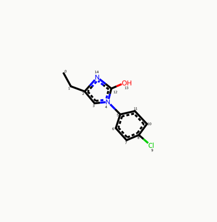 CCc1cn(-c2ccc(Cl)cc2)c(O)n1